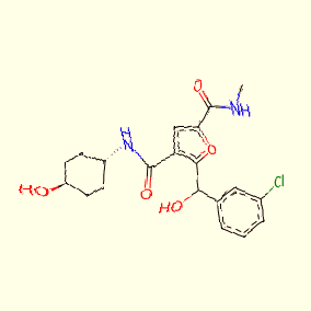 CNC(=O)c1cc(C(=O)N[C@H]2CC[C@H](O)CC2)c(C(O)c2cccc(Cl)c2)o1